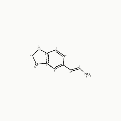 O=[N+]([O-])/C=C/c1ccc2c(c1)OCO2